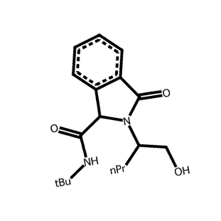 CCCC(CO)N1C(=O)c2ccccc2C1C(=O)NC(C)(C)C